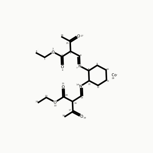 CCOC(=O)C(C=NC1CCCCC1N=CC(C(C)=O)C(=O)OCC)C(C)=O.[Co]